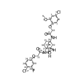 COc1cc(Cl)ccc1OCC(=O)NC12CCC(NC(=O)COc3ccc(Cl)c(F)c3)(CC1)[C@@H](O)C2